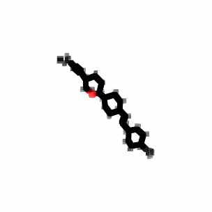 CC#CC1CCC(C2CCC(/C=C/C3CCC(CC)CC3)CC2)OC1